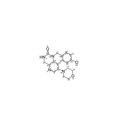 O=C1NCc2ncc(N3CCOCC3)cc2N1Cc1ccc(Cl)cc1